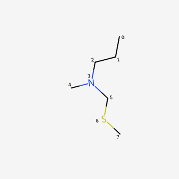 CCCN(C)CSC